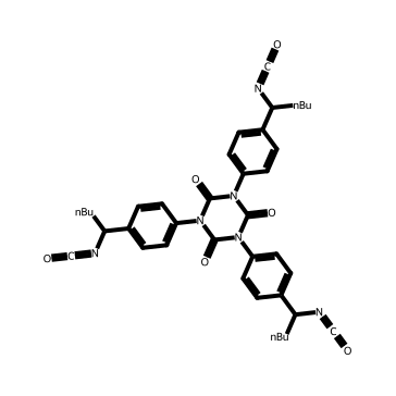 CCCCC(N=C=O)c1ccc(-n2c(=O)n(-c3ccc(C(CCCC)N=C=O)cc3)c(=O)n(-c3ccc(C(CCCC)N=C=O)cc3)c2=O)cc1